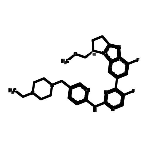 CCN1CCN(Cc2ccc(Nc3ncc(F)c(-c4cc(F)c5nc6n(c5c4)[C@H](COC)CC6)n3)nc2)CC1